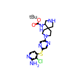 CC(C)(C)OC(=O)NC1CNCCC12CCN(c1cnc(Sc3ccnc(N)c3Cl)cn1)CC2